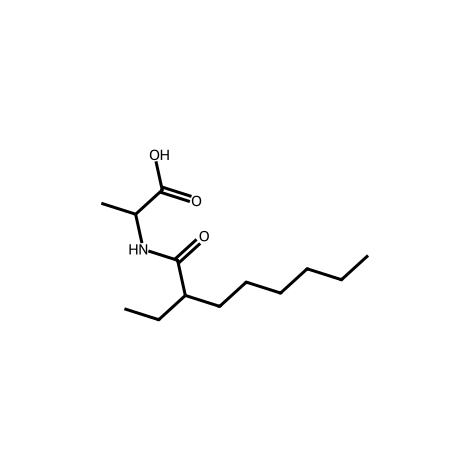 CCCCCCC(CC)C(=O)NC(C)C(=O)O